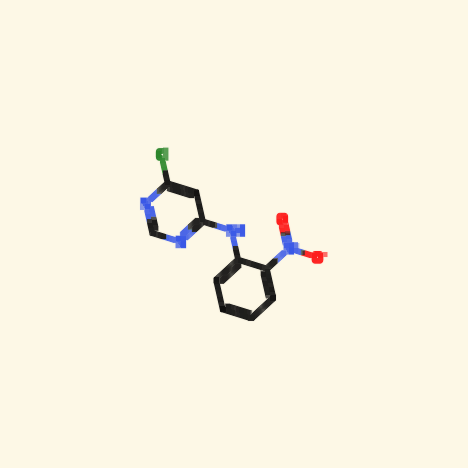 O=[N+]([O-])c1ccccc1Nc1cc(Cl)ncn1